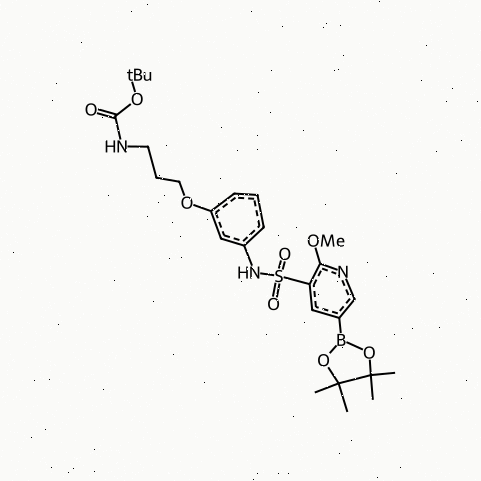 COc1ncc(B2OC(C)(C)C(C)(C)O2)cc1S(=O)(=O)Nc1cccc(OCCCNC(=O)OC(C)(C)C)c1